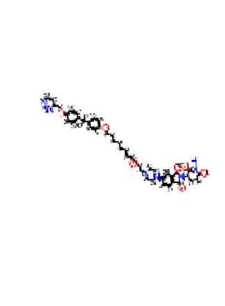 CC(C)(c1ccc(OCCCCCCCCOCCN2CCN(c3ccc4c(c3)C(=O)N(C3CCC(=O)NC3=O)C4=O)CC2)cc1)c1ccc(OCc2ccncn2)cc1